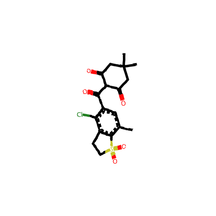 Cc1cc(C(=O)C2C(=O)CC(C)(C)CC2=O)c(Cl)c2c1S(=O)(=O)CC2